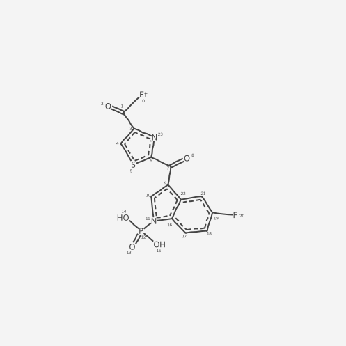 CCC(=O)c1csc(C(=O)c2cn(P(=O)(O)O)c3ccc(F)cc23)n1